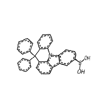 OB(O)c1ccc2c(c1)c1cccc3c1n2-c1ccccc1C3(c1ccccc1)c1ccccc1